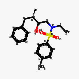 CC(C)CN(CC(O)[C@@H](C)Cc1ccccc1)S(=O)(=O)c1ccc([N+](=O)[O-])cc1